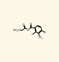 O=C(O)CC(=O)OC(=O)c1ccc(F)c(C(F)(F)F)c1F